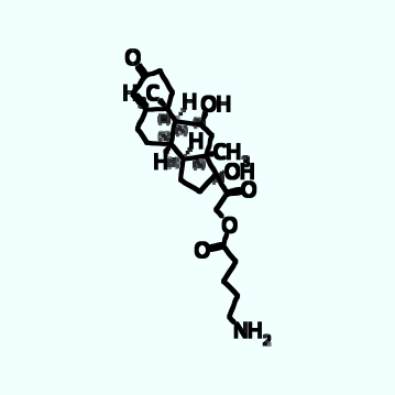 C[C@]12CCC(=O)C=C1CC[C@@H]1[C@@H]2[C@@H](O)C[C@@]2(C)[C@H]1CC[C@]2(O)C(=O)COC(=O)CCCCN